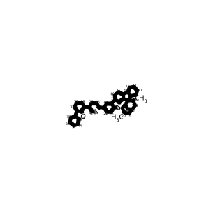 CC1CC2CC(C)C3(c4ccccc4-c4ccc5c(sc6ccc(-c7ccc(-c8cccc9c8oc8ccccc89)cn7)cc65)c43)C(C1)C2